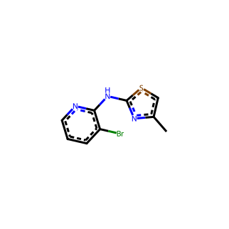 Cc1csc(Nc2ncccc2Br)n1